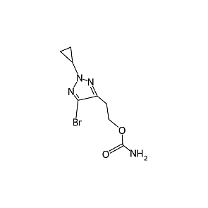 NC(=O)OCCc1nn(C2CC2)nc1Br